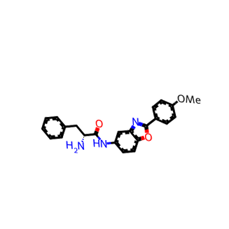 COc1ccc(-c2nc3cc(NC(=O)[C@H](N)Cc4ccccc4)ccc3o2)cc1